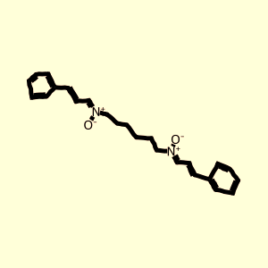 [O-][N+](=CC=Cc1ccccc1)CCCCCC[N+]([O-])=CC=Cc1ccccc1